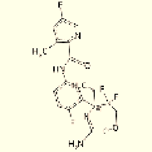 CC[C@]1(c2cc(NC(=O)c3ncc(F)cc3C)ccc2F)N=C(N)COCC1(F)F